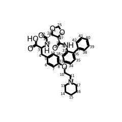 O=C(O)C(Cc1ccc(OCCN2CCCCC2)cc1)NC(=O)[C@@H]1OCO[C@H]1C(=O)Nc1ccccc1-c1ccccc1